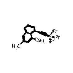 Cc1cc(O)c2c(C#C[Si](C(C)C)(C(C)C)C(C)C)cccc2c1